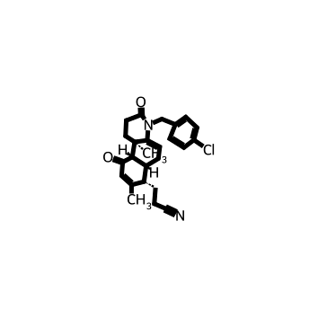 CC1=CC(=O)[C@H]2[C@@H](CC=C3N(Cc4ccc(Cl)cc4)C(=O)CC[C@@]32C)[C@@H]1CCC#N